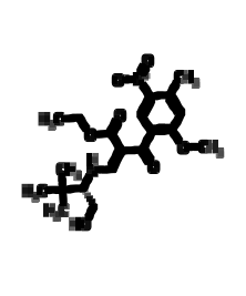 CCOC(=O)/C(=C\N[C@H](CO)C(C)(C)C)C(=O)c1cc([N+](=O)[O-])c(C)cc1OC